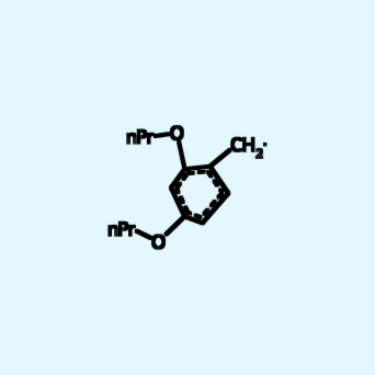 [CH2]c1ccc(OCCC)cc1OCCC